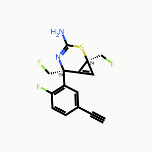 C#Cc1ccc(F)c([C@@]2(CF)N=C(N)S[C@@]3(CF)C=C32)c1